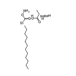 CCC(=O)O.CCC(=O)ON.CCCCCCCCCCCC.[NaH].[NaH]